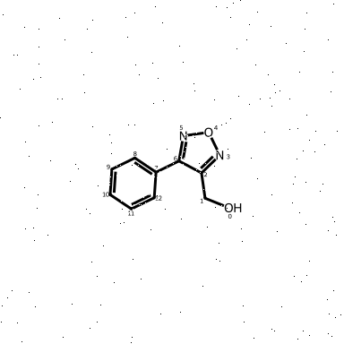 OCc1nonc1-c1ccccc1